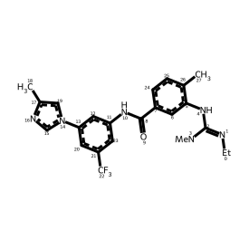 CC/N=C(\NC)Nc1cc(C(=O)Nc2cc(-n3cnc(C)c3)cc(C(F)(F)F)c2)ccc1C